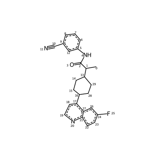 CC(C(=O)Nc1cccc(C#N)c1)C1CCC(c2ccnc3ccc(F)cc23)CC1